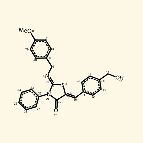 COc1ccc(C/N=C2\S/C(=C\c3ccc(CO)cc3)C(=O)N2c2ccccc2)cc1